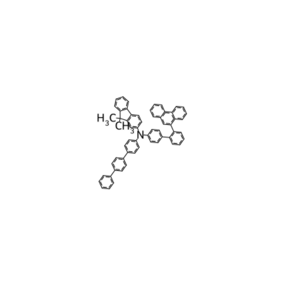 CC1(C)c2ccccc2-c2ccc(N(c3ccc(-c4ccc(-c5ccccc5)cc4)cc3)c3ccc(-c4ccccc4-c4cc5ccccc5c5ccccc45)cc3)cc21